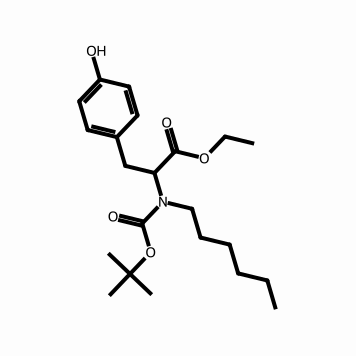 CCCCCCN(C(=O)OC(C)(C)C)C(Cc1ccc(O)cc1)C(=O)OCC